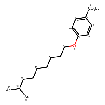 CCOC(=O)c1ccc(OCCCCCCCC(C(C)=O)C(C)=O)cc1